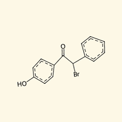 O=C(c1ccc(O)cc1)C(Br)c1ccccc1